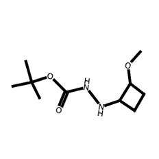 COC1CCC1NNC(=O)OC(C)(C)C